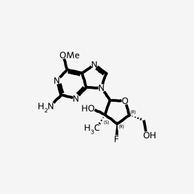 COc1nc(N)nc2c1ncn2C1O[C@H](CO)[C@@H](F)[C@@]1(C)O